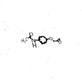 CC(=O)Nc1ccc(OCC2CO2)cc1